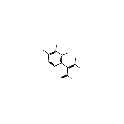 O=C(O)C(=C(Cl)Cl)c1ccc(Cl)c(Cl)c1Cl